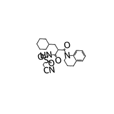 N#CCS(=O)(=O)NC(=O)C(CC1CCCCC1)C(=O)N1CCCc2ccccc21